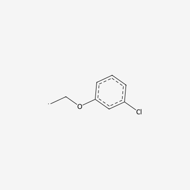 [CH2]COc1cccc(Cl)c1